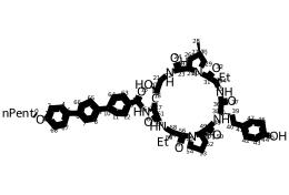 CCCCCOc1ccc(-c2ccc(-c3ccc(C(=O)N[C@H]4C[C@@H](O)CNC(=O)[C@@H]5C[C@@H](C)CN5C(=O)[C@H](CC)NC(=O)[C@H](CCc5ccc(O)cc5)NC(=O)[C@@H]5CCCN5C(=O)[C@H](CC)NC4=O)cc3)cc2)cc1